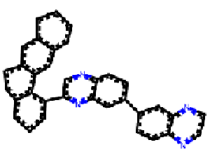 c1ccc2cc3c(ccc4cccc(-c5cnc6ccc(-c7ccc8nccnc8c7)cc6n5)c43)cc2c1